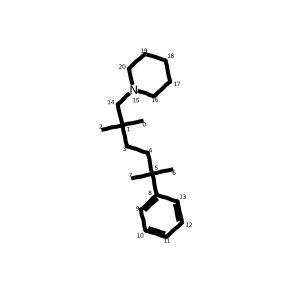 CC(C)(CCC(C)(C)c1ccccc1)CN1CCCCC1